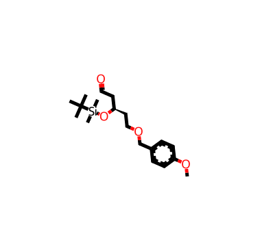 COc1ccc(COCC[C@H](CC=O)O[Si](C)(C)C(C)(C)C)cc1